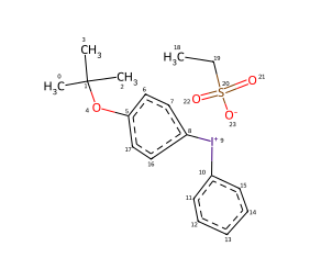 CC(C)(C)Oc1ccc([I+]c2ccccc2)cc1.CCS(=O)(=O)[O-]